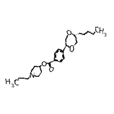 CCCCC[C@@H]1CO[C@@H](c2ccc(C(=O)OC3CCN(CCC)CC3)cc2)CO1